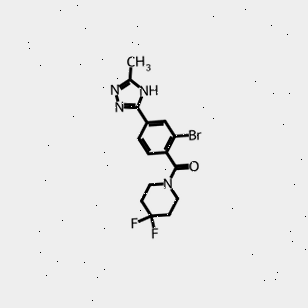 Cc1nnc(-c2ccc(C(=O)N3CCC(F)(F)CC3)c(Br)c2)[nH]1